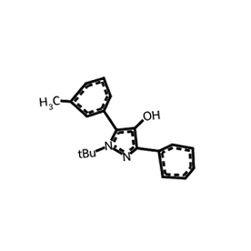 Cc1cccc(-c2c(O)c(-c3ccccc3)nn2C(C)(C)C)c1